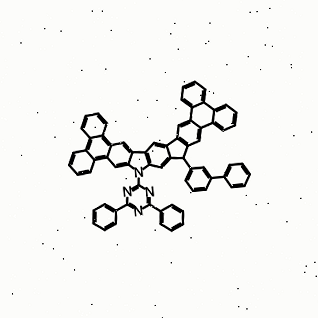 c1ccc(-c2cccc(C3c4cc5c6ccccc6c6ccccc6c5cc4-c4cc5c6cc7c8ccccc8c8ccccc8c7cc6n(-c6nc(-c7ccccc7)nc(-c7ccccc7)n6)c5cc43)c2)cc1